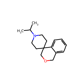 CC(C)N1CCC2(CC1)COCc1ccccc12